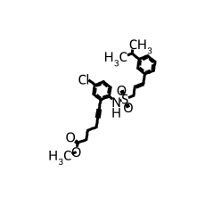 COC(=O)CCCC#Cc1cc(Cl)ccc1NS(=O)(=O)CC=Cc1cccc(C(C)C)c1